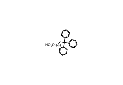 O=C(O)NCC(c1ccccc1)(c1ccccc1)c1ccccc1